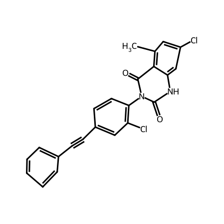 Cc1cc(Cl)cc2[nH]c(=O)n(-c3ccc(C#Cc4ccccc4)cc3Cl)c(=O)c12